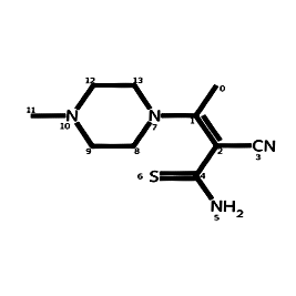 C/C(=C(\C#N)C(N)=S)N1CCN(C)CC1